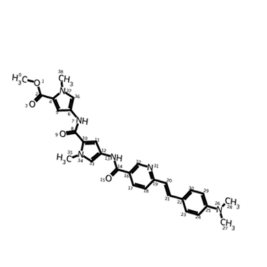 COC(=O)c1cc(NC(=O)c2cc(NC(=O)c3ccc(/C=C/c4ccc(N(C)C)cc4)nc3)cn2C)cn1C